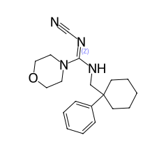 N#C/N=C(/NCC1(c2ccccc2)CCCCC1)N1CCOCC1